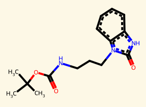 CC(C)(C)OC(=O)NCCCn1c(=O)[nH]c2ccccc21